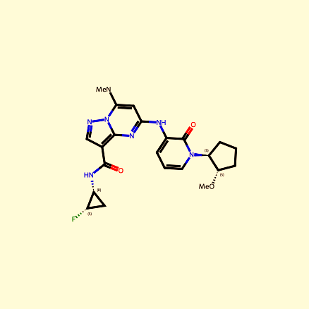 CNc1cc(Nc2cccn([C@H]3CCC[C@@H]3OC)c2=O)nc2c(C(=O)N[C@@H]3C[C@@H]3F)cnn12